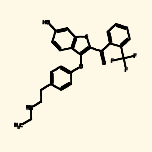 CCNCCc1ccc(Oc2c(C(=O)c3ccccc3C(F)(F)F)sc3cc(O)ccc23)cc1